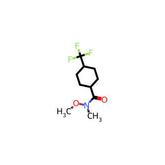 CON(C)C(=O)C1CCC(C(F)(F)F)CC1